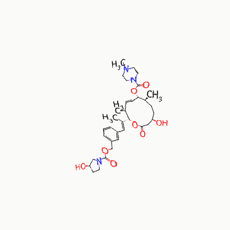 C/C(=C\c1cccc(COC(=O)N2CC[C@@H](O)C2)c1)[C@H]1OC(=O)C[C@H](O)CC[C@H](C)[C@@H](OC(=O)N2CCN(C)CC2)/C=C/[C@@H]1C